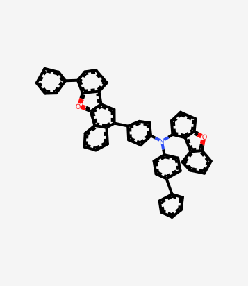 c1ccc(-c2ccc(N(c3ccc(-c4cc5c6cccc(-c7ccccc7)c6oc5c5ccccc45)cc3)c3cccc4oc5ccccc5c34)cc2)cc1